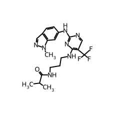 CC(C)C(=O)NCCCNc1nc(Nc2ccc3cnn(C)c3c2)ncc1C(F)(F)F